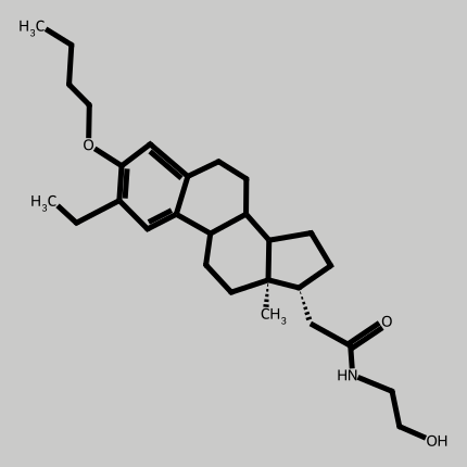 CCCCOc1cc2c(cc1CC)C1CC[C@@]3(C)C(CC[C@@H]3CC(=O)NCCO)C1CC2